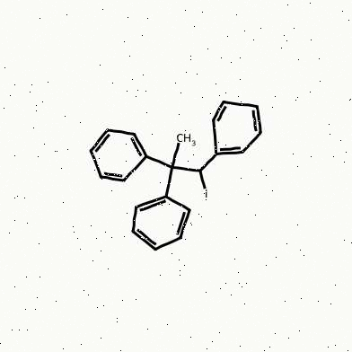 CC(c1ccccc1)(c1ccccc1)C(I)c1ccccc1